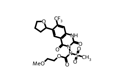 COCCOC(=O)N(n1c(=O)[nH]c2cc(C(F)(F)F)c(C3CCCO3)cc2c1=O)S(C)(=O)=O